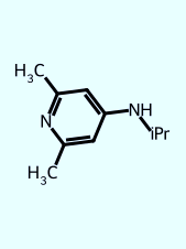 Cc1cc(NC(C)C)cc(C)n1